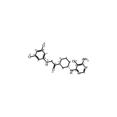 Nc1ncnc(N[C@H]2CCCN(C(=O)CNc3cc(Cl)cc(Cl)c3)C2)c1Cl